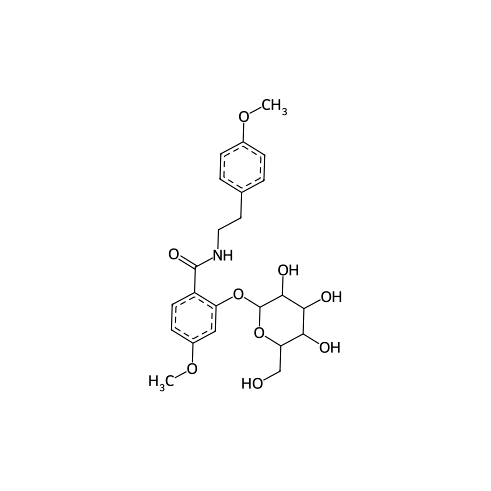 COc1ccc(CCNC(=O)c2ccc(OC)cc2OC2OC(CO)C(O)C(O)C2O)cc1